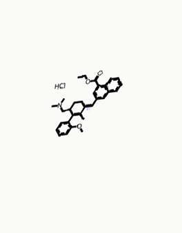 CCOC(=O)c1cc(/C=C2\CCC(CN(C)C)C(c3ccccc3OC)=C2C)cc2ccccc12.Cl